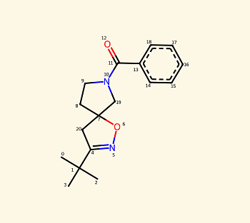 CC(C)(C)C1=NOC2(CCN(C(=O)c3ccccc3)C2)C1